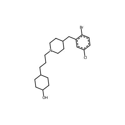 OC1CCC(CCCN2CCC(Cc3cc(Cl)ccc3Br)CC2)CC1